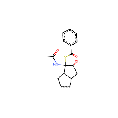 CC(=O)NC1(SC(=O)c2ccccc2)C(O)CC2CCCC21